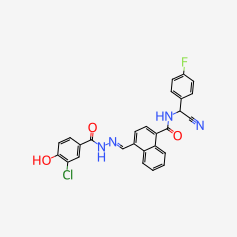 N#CC(NC(=O)c1ccc(/C=N/NC(=O)c2ccc(O)c(Cl)c2)c2ccccc12)c1ccc(F)cc1